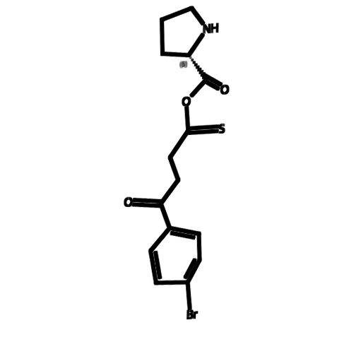 O=C(CCC(=S)OC(=O)[C@@H]1CCCN1)c1ccc(Br)cc1